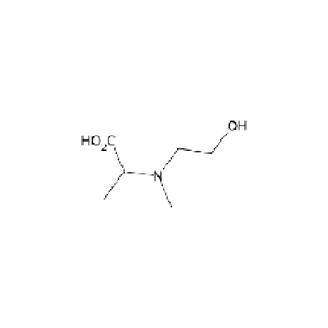 CC(C(=O)O)N(C)CCO